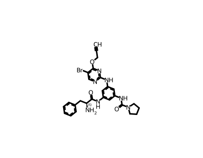 C#CCOc1nc(Nc2cc(NC(=O)[C@@H](N)Cc3ccccc3)cc(NC(=O)N3CCCC3)c2)ncc1Br